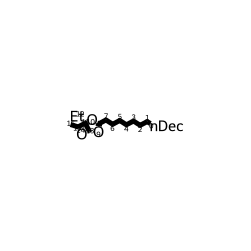 CCCCCCCCCCCCCCCCCC(=O)OC1(CC)COC1C